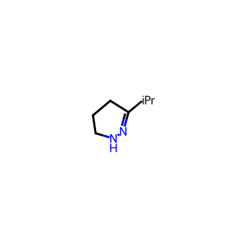 CC(C)C1=NNCCC1